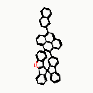 C1=CC2=CC(c3ccc4ccccc4c3)=C3C=CC=C4C=C(c5ccc6c(c5)C5(c7ccccc7-6)c6ccccc6-c6oc7ccccc7c65)C(=C1)C2C43